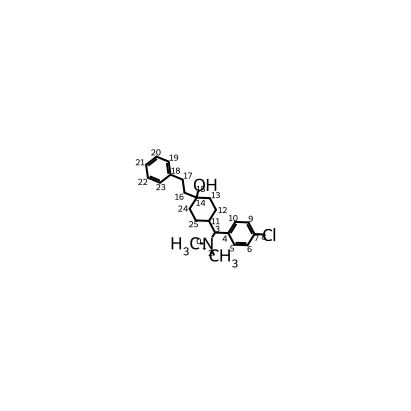 CN(C)C(c1ccc(Cl)cc1)C1CCC(O)(CCc2ccccc2)CC1